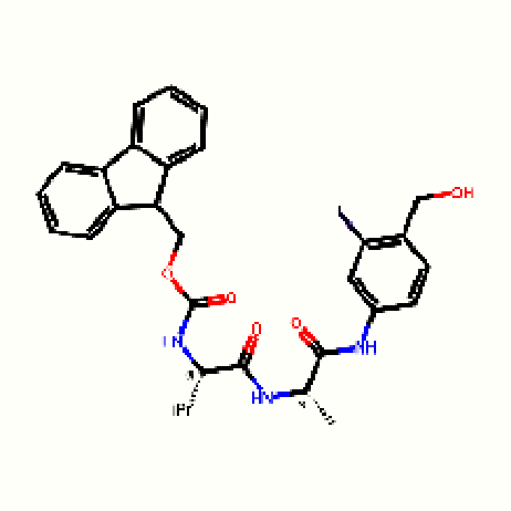 CC(C)[C@H](NC(=O)OCC1c2ccccc2-c2ccccc21)C(=O)N[C@@H](C)C(=O)Nc1ccc(CO)c(I)c1